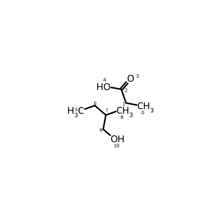 CCC(=O)O.CCC(C)CO